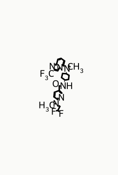 CN(CC(F)F)c1ccc(C(=O)N[C@H]2CC[C@@H](N(C)c3cccc4nc(C(F)(F)F)cn34)CC2)cn1